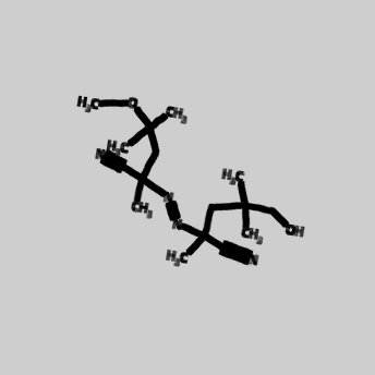 COC(C)(C)CC(C)(C#N)N=NC(C)(C#N)CC(C)(C)CO